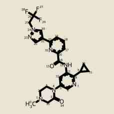 CN1CCN(c2cnc(C3CC3)c(NC(=O)c3cccc(-c4cnn(CC(F)(F)F)c4)n3)c2)C(=O)C1